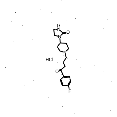 Cl.O=C(CCCN1CCC(N2CCNC2=O)CC1)c1ccc(F)cc1